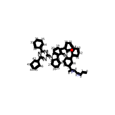 C=C/C=C\C=C(/C)c1ccc(-n2c3ccccc3c3ccc4c(c5ccccc5n4-c4nc(-c5ccccc5)nc(-c5ccccc5)n4)c32)c(-c2ccccc2)c1